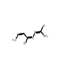 C\C=C/C(=N\N=C(/N)C(C)C)C(C)C